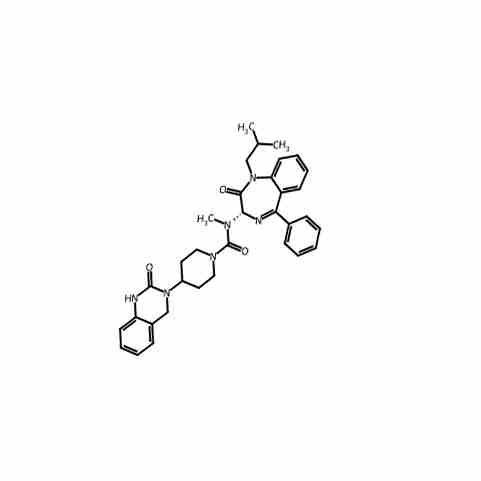 CC(C)CN1C(=O)[C@@H](N(C)C(=O)N2CCC(N3Cc4ccccc4NC3=O)CC2)N=C(c2ccccc2)c2ccccc21